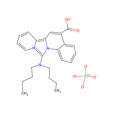 CCCCN(CCCC)c1n2c3ccccc3c(C(=O)O)cc2c2cccc[n+]12.[O-][Cl+3]([O-])([O-])[O-]